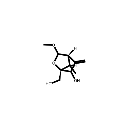 C=C1C(O)[C@]2(CO)OC(OC)[C@H]1[C@@H]2C